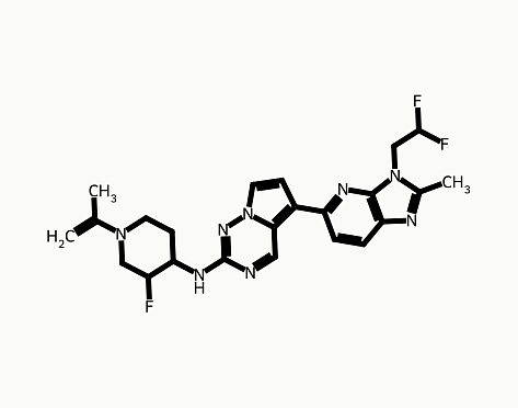 C=C(C)N1CCC(Nc2ncc3c(-c4ccc5nc(C)n(CC(F)F)c5n4)ccn3n2)C(F)C1